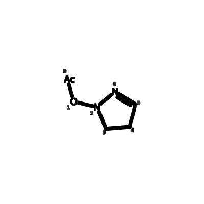 CC(=O)ON1CCC=N1